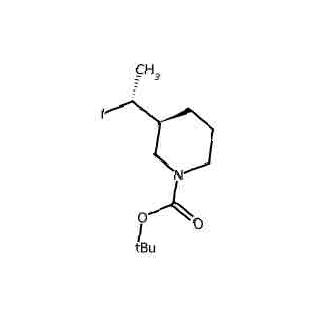 C[C@@H](I)[C@H]1CCCN(C(=O)OC(C)(C)C)C1